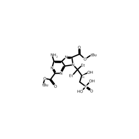 CCC(CC)([C@@H](O)CP(=O)(O)O)n1c(C(=O)OC(C)(C)C)nc2c(N)nc(C(=O)OC(C)(C)C)nc21